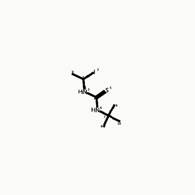 CC(I)NC(=S)NC(C)(C)C